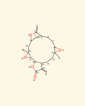 C=C1OC2C=C1CCC1OC1(C)CCC1C(=C)C(=O)OC1C1OC1(C)C2